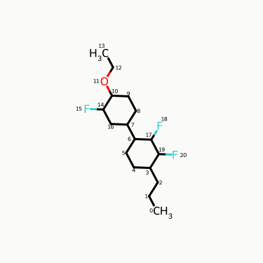 CCCC1CCC(C2CCC(OCC)C(F)C2)C(F)C1F